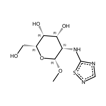 CO[C@@H]1O[C@H](CO)[C@H](O)[C@H](O)[C@@H]1Nc1ncns1